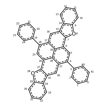 c1ccc(-c2cc3c4oc5ccccc5c4cc4c(-c5ccccc5)cc5c6oc7ccccc7c6cc2c5c43)cc1